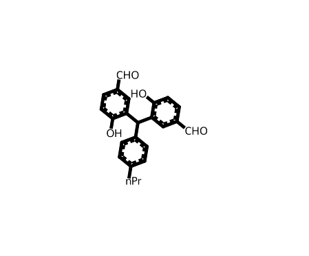 CCCc1ccc(C(c2cc(C=O)ccc2O)c2cc(C=O)ccc2O)cc1